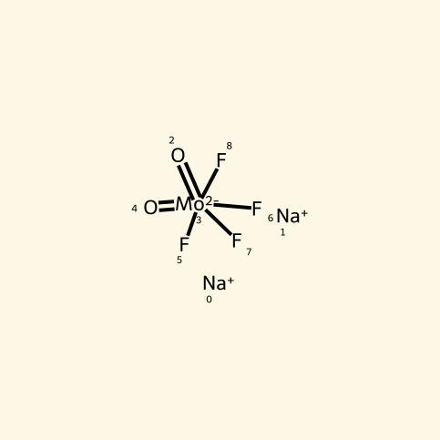 [Na+].[Na+].[O]=[Mo-2](=[O])([F])([F])([F])[F]